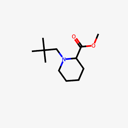 COC(=O)C1CCCCN1CC(C)(C)C